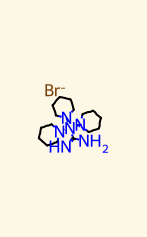 N=C(N)[N+](N1CCCCC1)(N1CCCCC1)N1CCCCC1.[Br-]